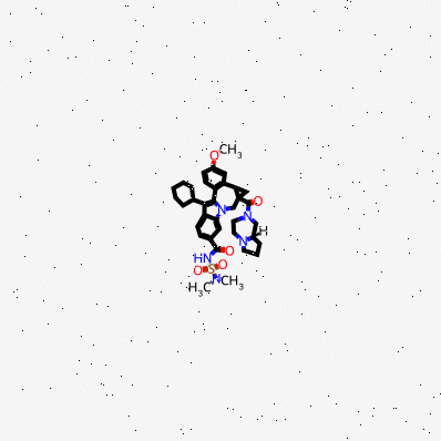 COc1ccc2c(c1)C1CC1(C(=O)N1CCN3CCC[C@H]3C1)Cn1c-2c(C2CCCCC2)c2ccc(C(=O)NS(=O)(=O)N(C)C)cc21